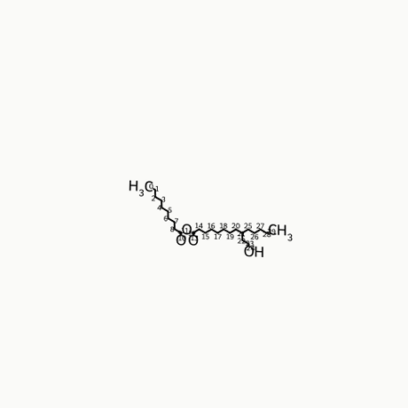 CCCCCCCCCC(=O)OC(=O)CCCCCCCC(CCO)CCCCC